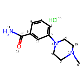 CN1CCN(c2cccc(C(N)=O)c2)CC1.Cl